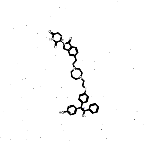 CC/C(=C(\c1ccc(O)cc1)c1ccc(OCCN2CCCN(CCc3ccc4c(c3)CN([C@@H]3CCC(=O)NC3=O)C4=O)CC2)cc1)c1ccccc1